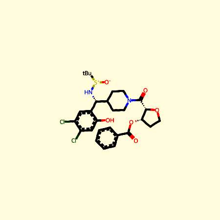 CC(C)(C)[S+]([O-])N[C@@H](c1cc(Cl)c(Cl)cc1O)C1CCN(C(=O)[C@@H]2OCC[C@@H]2OC(=O)c2ccccc2)CC1